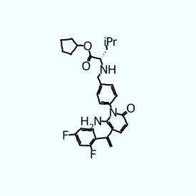 C=C(c1ccc(F)cc1F)c1ccc(=O)n(-c2ccc(CN[C@@H](CC(C)C)C(=O)OC3CCCC3)cc2)c1N